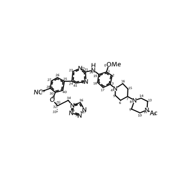 COc1cc(N2CCC(N3CCN(C(C)=O)CC3)CC2)ccc1Nc1ncc(-c2ccc(C#N)c(O[C@@H](C)Cn3cnnn3)c2)cn1